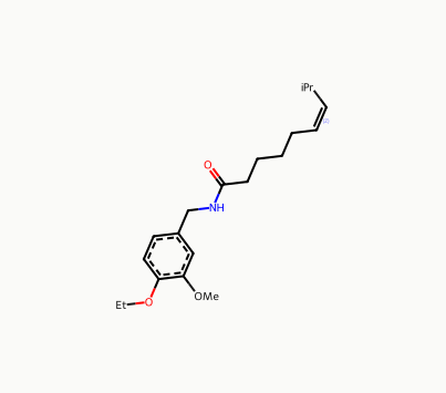 CCOc1ccc(CNC(=O)CCCC/C=C\C(C)C)cc1OC